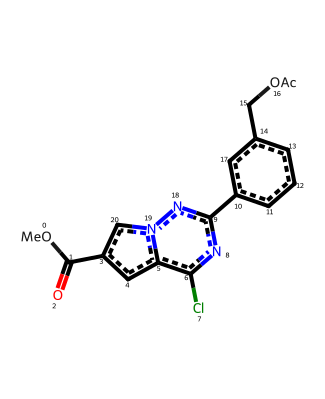 COC(=O)c1cc2c(Cl)nc(-c3cccc(COC(C)=O)c3)nn2c1